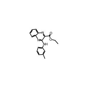 CCOC(=O)c1nc2ccccc2nc1Nc1cccc(C)c1